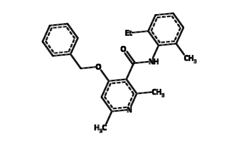 CCc1cccc(C)c1NC(=O)c1c(OCc2ccccc2)cc(C)nc1C